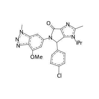 COc1cc(N2C(=O)c3nc(C)n(C(C)C)c3C2c2ccc(Cl)cc2)cc2c1nnn2C